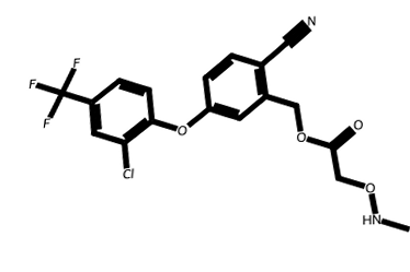 CNOCC(=O)OCc1cc(Oc2ccc(C(F)(F)F)cc2Cl)ccc1C#N